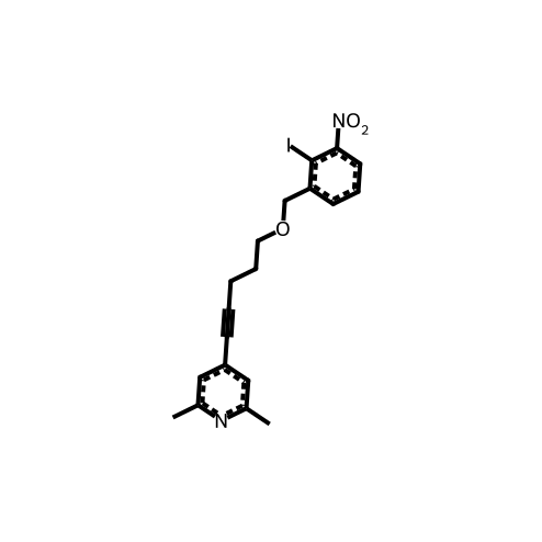 Cc1cc(C#CCCCOCc2cccc([N+](=O)[O-])c2I)cc(C)n1